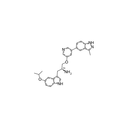 Cc1n[nH]c2ccc(-c3cncc(OC[C@@H](N)Cc4c[nH]c5ccc(OC(C)C)cc45)c3)cc12